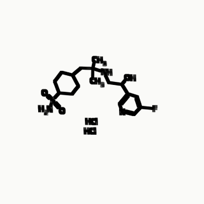 CC(C)(CC1CCC(S(N)(=O)=O)CC1)NCC(O)c1cncc(F)c1.Cl.Cl